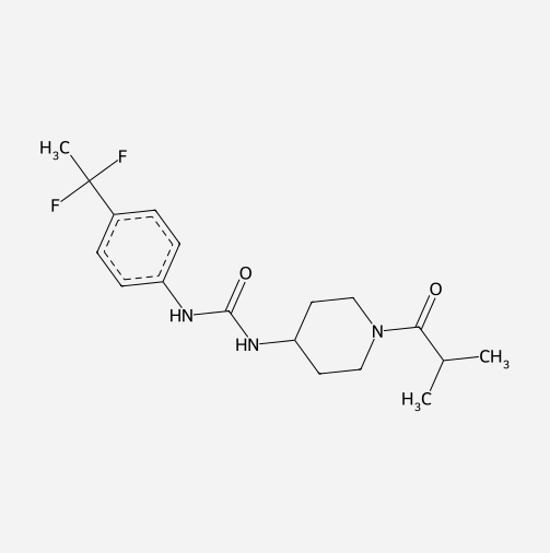 CC(C)C(=O)N1CCC(NC(=O)Nc2ccc(C(C)(F)F)cc2)CC1